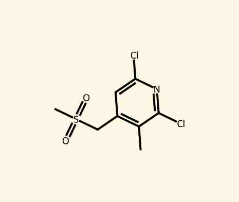 Cc1c(CS(C)(=O)=O)cc(Cl)nc1Cl